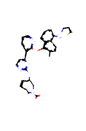 Cc1ccc2c(N3CCCS3(=O)=O)cccc2c1Oc1ncccc1-c1ccnc(NC2CCCN(C(=O)O)C2)n1